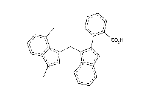 Cc1cccc2c1c(Cc1c(-c3ccccc3C(=O)O)nc3ccccn13)cn2C